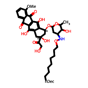 CCCCCCCCCCCCCCCCCCONC1CC(O[C@H]2C[C@](O)(C(=O)CO)Cc3c(O)c4c(c(O)c32)C(=O)c2c(OC)cccc2C4=O)OC(C)C1O